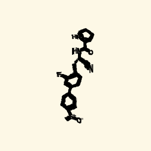 C[S+]([O-])c1ccc(-c2ccc(C[C@@H](C#N)NC(=O)C3NC4CCC3C4)c(F)c2)cc1